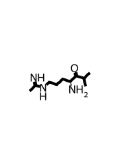 CC(=N)NCCC[C@@H](N)C(=O)C(C)C